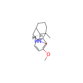 CN[C@H]1C2CCCC1(C)c1cc(OC)ccc1C2